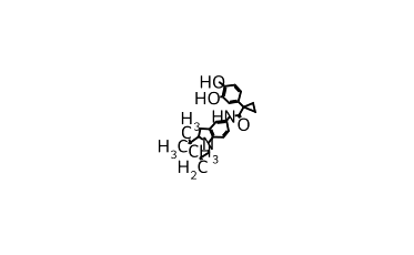 C=CCN1c2ccc(NC(=O)C3(c4ccc(O)c(O)c4)CC3)cc2CC1C(C)(C)C